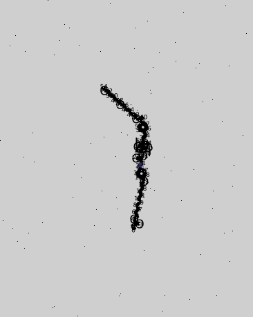 C=CC(=O)OCCCCCCCCCCOc1ccc(/C=C/C(=O)O[C@@H]2CO[C@H]3[C@@H]2OC[C@@H]3C=Cc2ccc(C(=C)OCCCCCOCCCCCOC)cc2)cc1